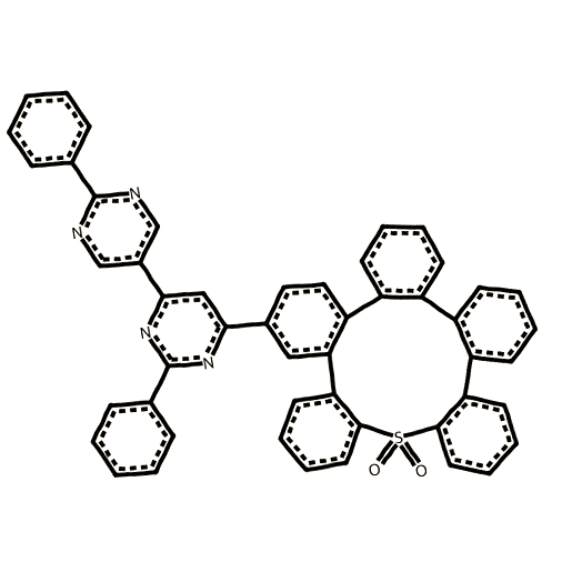 O=S1(=O)c2ccccc2-c2ccccc2-c2ccccc2-c2ccc(-c3cc(-c4cnc(-c5ccccc5)nc4)nc(-c4ccccc4)n3)cc2-c2ccccc21